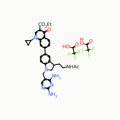 CCOC(=O)c1cn(C2CC2)c2cc(-c3ccc4c(c3)C(CCNC(C)=O)CN4Cc3cnc(N)nc3N)ccc2c1=O.O=C(O)C(F)(F)F.O=C(O)C(F)(F)F